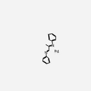 CC(/C=N/c1ccccc1)=N\c1ccccc1.[Pd]